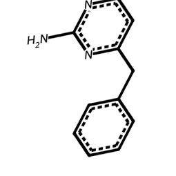 Nc1n[c]cc(Cc2ccccc2)n1